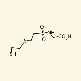 O=C(O)CNS(=O)(=O)CCSCCS